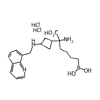 Cl.Cl.NC(CCCCB(O)O)(C(=O)O)C1CC(NCc2cccc3cccnc23)C1